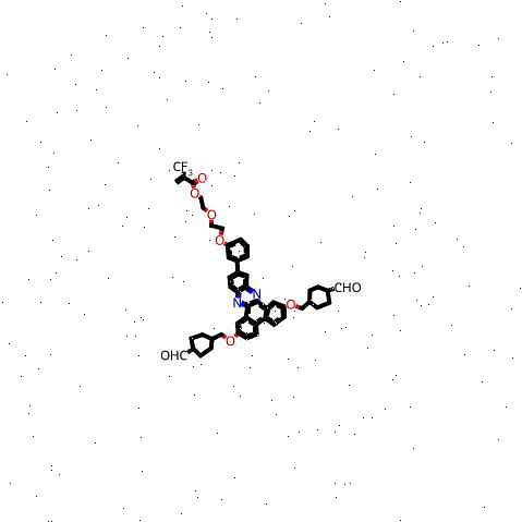 C=C(C(=O)OCCOCCOc1cccc(-c2ccc3nc4c5cc(OCC6CCC(C=O)CC6)ccc5c5ccc(OCC6CCC(C=O)CC6)cc5c4nc3c2)c1)C(F)(F)F